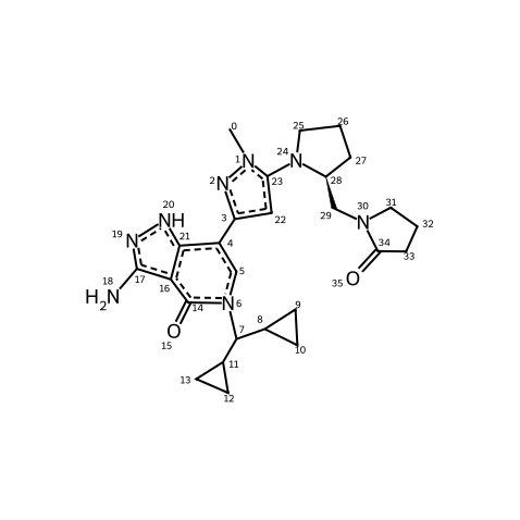 Cn1nc(-c2cn(C(C3CC3)C3CC3)c(=O)c3c(N)n[nH]c23)cc1N1CCC[C@H]1CN1CCCC1=O